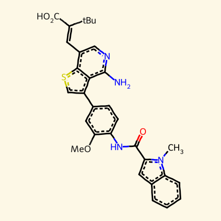 COc1cc(-c2csc3c(C=C(C(=O)O)C(C)(C)C)cnc(N)c23)ccc1NC(=O)c1cc2ccccc2n1C